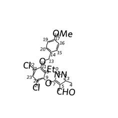 CCn1nc(C)c(C=O)c1Oc1cc(OCc2ccc(OC)cc2)c(Cl)cc1Cl